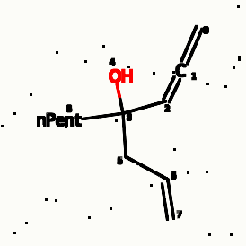 C=C=CC(O)(CC=C)CCCCC